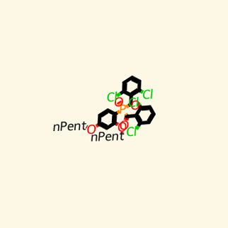 CCCCCOc1ccc(P(=O)(C(=O)c2c(Cl)cccc2Cl)C(=O)c2c(Cl)cccc2Cl)c(OCCCCC)c1